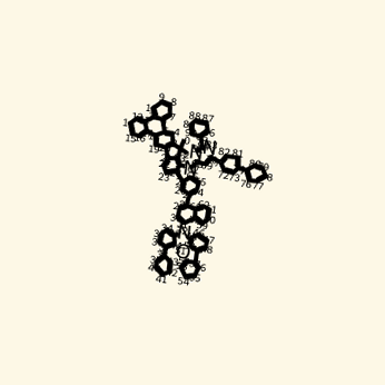 CC1(C)c2cc3c4ccccc4c4ccccc4c3cc2-c2ccc3c4cc(-c5ccc(N(c6cccc(-c7ccccc7)c6)c6cccc7c6oc6ccccc67)c6ccccc56)ccc4n(-c4cc(-c5ccc(-c6ccccc6)cc5)nc(-c5ccccc5)n4)c3c21